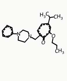 CCCOc1cc(C(C)C)ccc(CN2CCN(c3ccccc3)CC2)c1=O